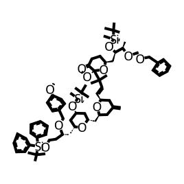 C=C1C[C@@H](C[C@H]2C[C@@H](O[Si](C)(C)C(C)(C)C)C[C@@H](C[C@H](CCO[Si](c3ccccc3)(c3ccccc3)C(C)(C)C)OCc3ccc(OC)cc3)O2)O[C@@H](/C=C/C(C)(C)[C@]2(OC)O[C@H](C[C@@H](O[Si](C)(C)C(C)(C)C)[C@@H](C)OCOCc3ccccc3)CCC2=O)C1